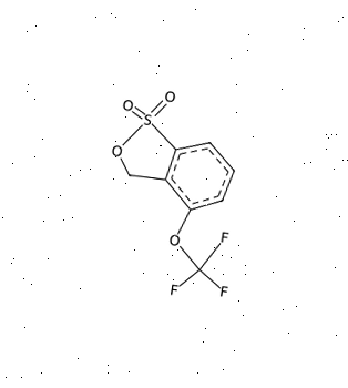 O=S1(=O)OCc2c(OC(F)(F)F)cccc21